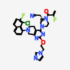 C=C(F)C(=O)N1CCN(c2nc(OCCn3ccnc3)nc3c2CCN(c2cccc4ccc(F)c(Cl)c24)C3)C[C@@H]1CC#N